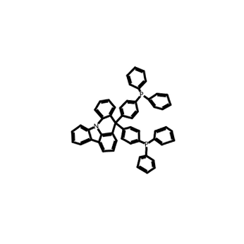 c1ccc(P(c2ccccc2)c2ccc(C3(c4ccc(P(c5ccccc5)c5ccccc5)cc4)c4ccccc4-n4c5ccccc5c5cccc3c54)cc2)cc1